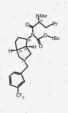 CN[C@@H](CC(C)C)C(=O)N(C(=O)OC(C)(C)C)[C@@H]1CC[C@H]2CN(Cc3cccc(C(F)(F)F)c3)C[C@H]21